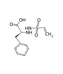 C=CS(=O)(=O)NN[C@@H](Cc1ccccc1)C(=O)O